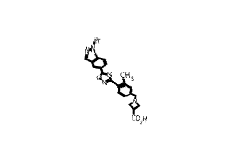 Cc1cc(CN2CC(C(=O)O)C2)ccc1-c1noc(-c2ccc3c(cnn3C(C)C)c2)n1